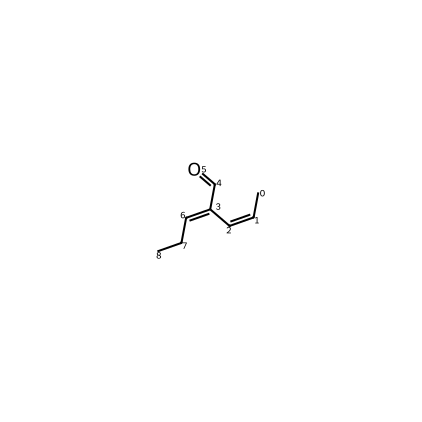 C/C=C\C(C=O)=C/CC